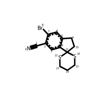 N#Cc1cc2c(cc1Br)CCC21SCCCS1